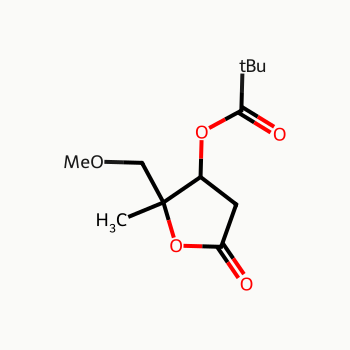 COCC1(C)OC(=O)CC1OC(=O)C(C)(C)C